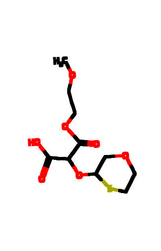 COCCOC(=O)C(OC1COCCS1)C(=O)O